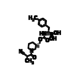 Cc1ccc(C[C@H](NC(=O)OC[C@H]2CCCN(C(=O)C(C)C#N)C2)B(O)O)cc1